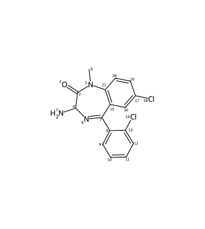 CN1C(=O)C(N)N=C(c2ccccc2Cl)c2cc(Cl)ccc21